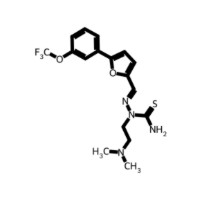 CN(C)CCN(N=Cc1ccc(-c2cccc(OC(F)(F)F)c2)o1)C(N)=S